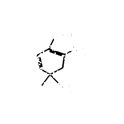 CC1([N+](=O)[O-])C=CC(S(=O)(=O)O)=C([N+](=O)[O-])C1